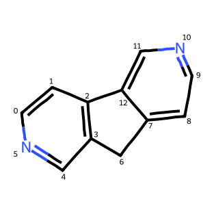 c1cc2c(cn1)Cc1ccncc1-2